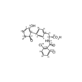 Cn1ncc(O)c(-c2ccc(C[C@H](NC(=O)c3c(Cl)cccc3Cl)C(=O)O)cc2)c1=O